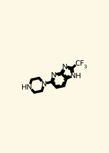 FC(F)(F)c1nc2nc(N3CCNCC3)ccc2[nH]1